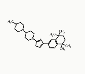 CN1CCN(C2CCN(c3nc(-c4ccc5c(c4)C(C)(C)CCC5(C)C)cs3)CC2)CC1